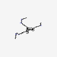 CC/C=C\CCCCCCCC(=O)OCC(COC(=O)CCCCCCC/C=C\C/C=C\CCCCC)OC(=O)CCCCCCC/C=C\C/C=C\CCCCC